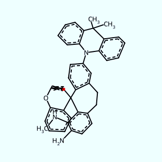 CNc1c(N)ccc2c1C1(c3ccc(N4c5ccccc5C(C)(C)c5ccccc54)cc3CC2)c2ccccc2Oc2ccccc21